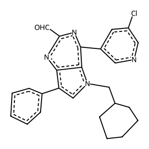 O=Cc1nc(-c2cncc(Cl)c2)c2c(n1)c(-c1ccccc1)cn2CC1CCCCC1